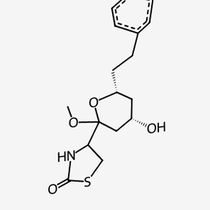 COC1(C2CSC(=O)N2)C[C@@H](O)C[C@@H](CCc2ccccc2)O1